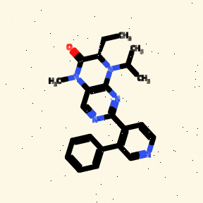 CC[C@@H]1C(=O)N(C)c2cnc(-c3ccncc3-c3ccccc3)nc2N1C(C)C